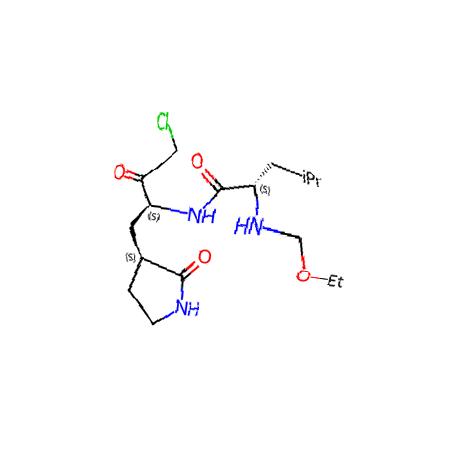 CCOCN[C@@H](CC(C)C)C(=O)N[C@@H](C[C@@H]1CCNC1=O)C(=O)CCl